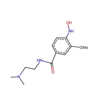 COc1cc(C(=O)NCCN(C)C)ccc1NO